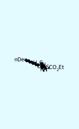 CCCCCCCCCCCCCCCCCCOc1c2ncnc(SCC(=O)OCC)c2nn1C